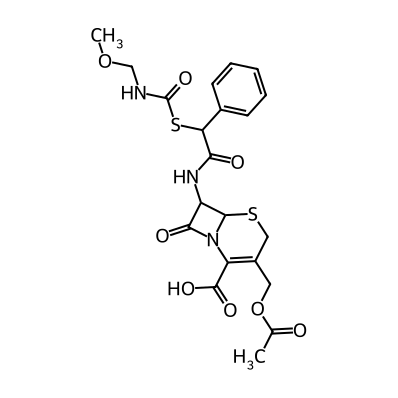 COCNC(=O)SC(C(=O)NC1C(=O)N2C(C(=O)O)=C(COC(C)=O)CSC12)c1ccccc1